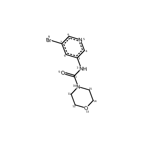 O=C(Nc1cncc(Br)c1)N1CCOCC1